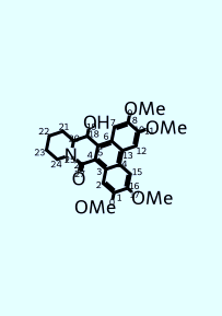 COc1cc2c3c(c4cc(OC)c(OC)cc4c2cc1OC)C(O)C1CCCCN1C3=O